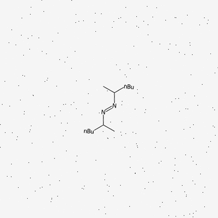 CCCCC(C)N=NC(C)CCCC